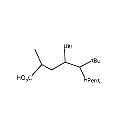 CCCCCC(C(CC(C)C(=O)O)C(C)(C)C)C(C)(C)C